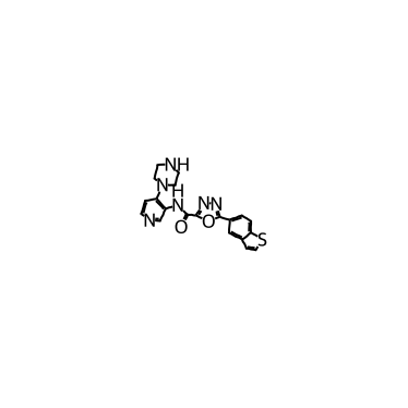 O=C(Nc1cnccc1N1CCNCC1)c1nnc(-c2ccc3sccc3c2)o1